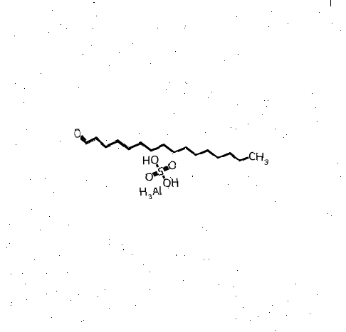 CCCCCCCCCCCCCCCC=O.O=S(=O)(O)O.[AlH3]